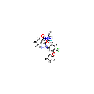 CCC(C)NC(=O)C1=C(C(=O)Nc2cc(OC3CCCC3)c(Cl)cc2F)CCCC1